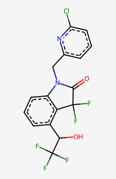 O=C1N(Cc2cccc(Cl)n2)c2cccc(C(O)C(F)(F)F)c2C1(F)F